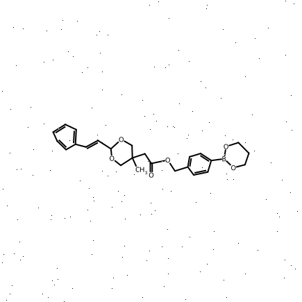 CC1(CC(=O)OCc2ccc(B3OCCCO3)cc2)COC(/C=C/c2ccccc2)OC1